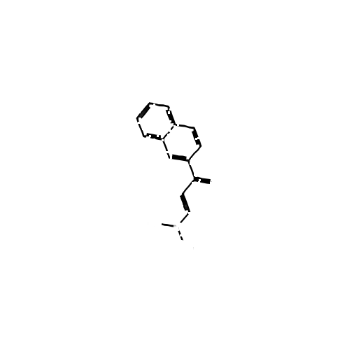 CN(C)/C=C/C(=O)c1ccc2ccccc2c1